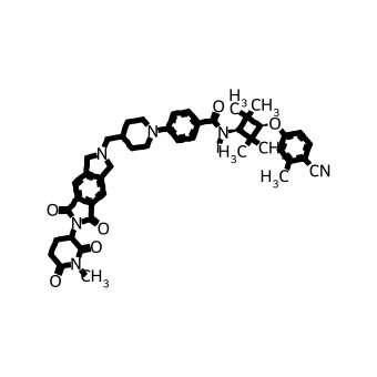 Cc1cc(O[C@H]2C(C)(C)[C@H](N(I)C(=O)c3ccc(N4CCC(CN5Cc6cc7c(cc6C5)C(=O)N(C5CCC(=O)N(C)C5=O)C7=O)CC4)cc3)C2(C)C)ccc1C#N